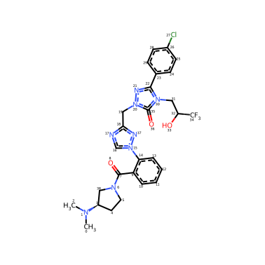 CN(C)[C@@H]1CCN(C(=O)c2ccccc2-n2cnc(Cn3nc(-c4ccc(Cl)cc4)n(CC(O)C(F)(F)F)c3=O)n2)C1